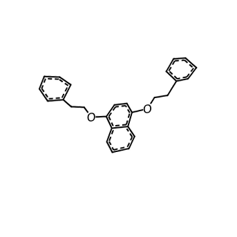 c1ccc(CCOc2ccc(OCCc3ccccc3)c3ccccc23)cc1